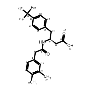 Cc1ccc(CC(=O)N[C@H](CC(=O)O)Cc2ccc(C(F)(F)F)cc2)cc1C